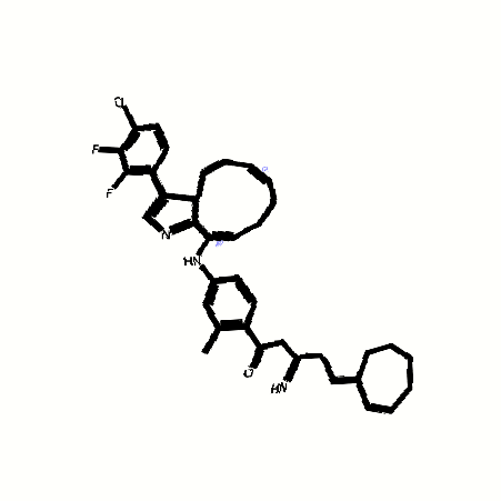 Cc1cc(N/C2=C/CC/C=C\CCC3C(c4ccc(Cl)c(F)c4F)=CN=C23)ccc1C(=O)CC(=N)CCC1CCCCCC1